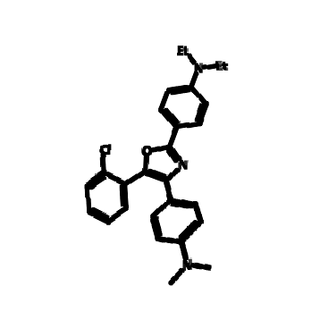 CCN(CC)c1ccc(-c2nc(-c3ccc(N(C)C)cc3)c(-c3ccccc3Cl)o2)cc1